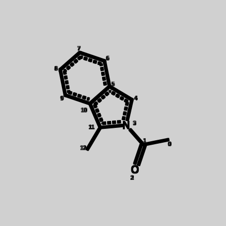 CC(=O)n1cc2ccccc2c1C